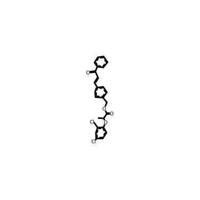 CC(Oc1ccc(Cl)cc1Cl)C(=O)OCc1ccc(C=CC(=O)c2ccccc2)cc1